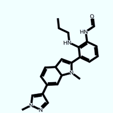 CCCNc1c(NC=O)cccc1C1=CC2C=CC(c3cnn(C)c3)=CC2N1C